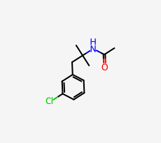 CC(=O)NC(C)(C)Cc1cccc(Cl)c1